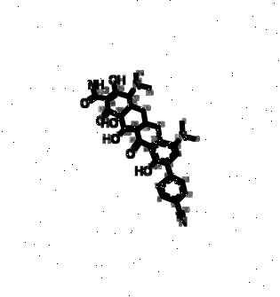 CN(C)c1cc(-c2ccc(C#N)cc2)c(O)c2c1CC1CC3C(N(C)C)C(O)=C(C(N)=O)C(=O)C3(O)C(O)=C1C2=O